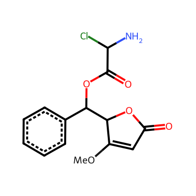 COC1=CC(=O)OC1C(OC(=O)C(N)Cl)c1ccccc1